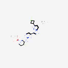 COc1cc2ncc(-c3ccnc(N[C@H]4CN(C(=O)OC(C)(C)C)CC[C@@H]4F)n3)n2nc1C1CC(F)(F)C1